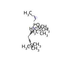 CC/C=C\C[C@@H](/C=C/C#CCC#C[Si](C)(C)C)O[Si](C)(C)C(C)(C)C